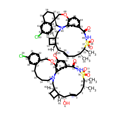 C[C@@H]1C/C=C/[C@H](O)[C@@H]2CC[C@H]2CN2CCCCc3cc(Cl)ccc3COc3c(O[C@H]4/C=C/C[C@@H](C)[C@H](C)S(=O)(=O)NC(=O)c5ccc6c(c5)N(C[C@@H]5CC[C@H]54)C[C@@]4(CCCc5cc(Cl)ccc54)CO6)cc(cc32)C(=O)NS(=O)(=O)[C@@H]1C